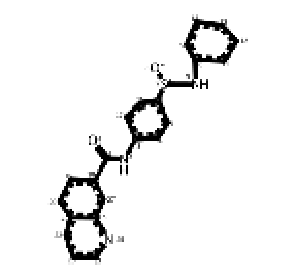 O=C(Nc1ccc([S+]([O-])Nc2ccccc2)cc1)c1ccc2cccnc2c1